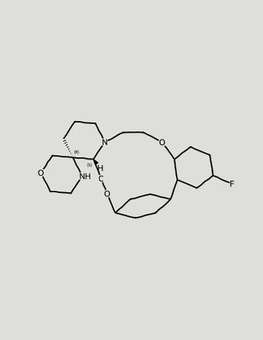 FC1CCC2OCCN3CCC[C@]4(COCCN4)[C@H]3COC3CCC(CC3)C2C1